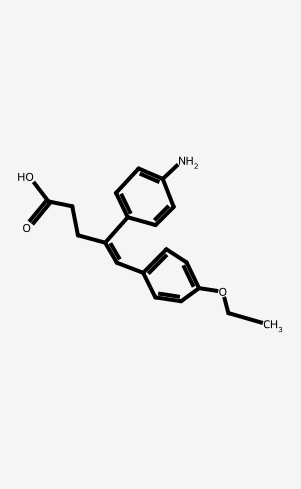 CCOc1ccc(C=C(CCC(=O)O)c2ccc(N)cc2)cc1